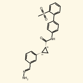 CS(=O)(=O)c1ccccc1-c1ccc(NC(=O)[C@@H]2C[C@@H]2c2cccc(C=NN)c2)cc1